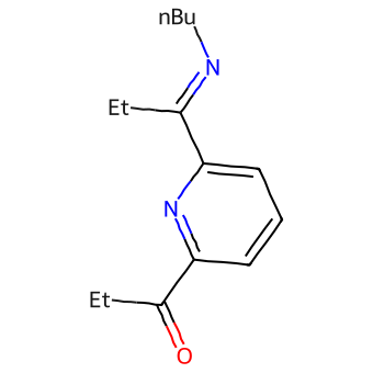 CCCC/N=C(\CC)c1cccc(C(=O)CC)n1